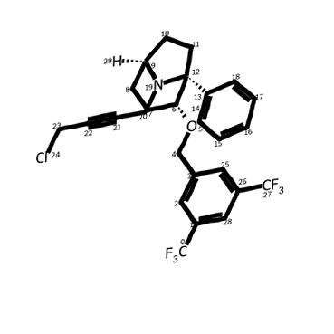 FC(F)(F)c1cc(CO[C@@H]2CC[C@H]3CC[C@]2(c2ccccc2)N3CC#CCCl)cc(C(F)(F)F)c1